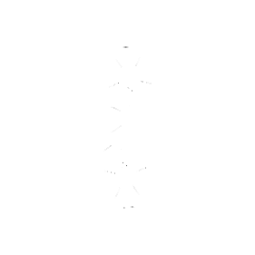 O=C(/C=C/C(=O)ON1C(=O)c2ccccc2C1=O)ON1C(=O)c2ccccc2C1=O